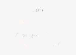 CCCCC[CH]([AlH2])CC.O=PO